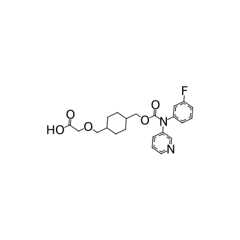 O=C(O)COCC1CCC(COC(=O)N(c2cccnc2)c2cccc(F)c2)CC1